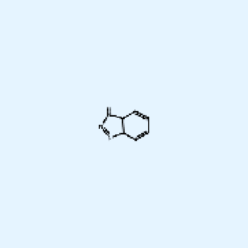 C1=CC2N=NNC2C=C1